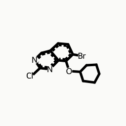 Clc1ncc2ccc(Br)c(OC3CCCCC3)c2n1